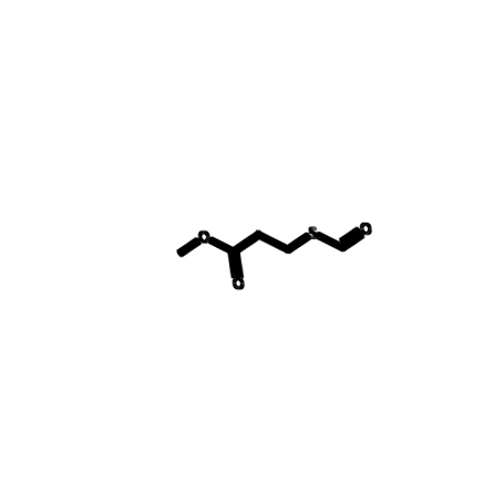 COC(=O)[CH]CSC=O